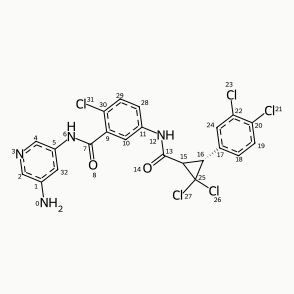 Nc1cncc(NC(=O)c2cc(NC(=O)C3[C@H](c4ccc(Cl)c(Cl)c4)C3(Cl)Cl)ccc2Cl)c1